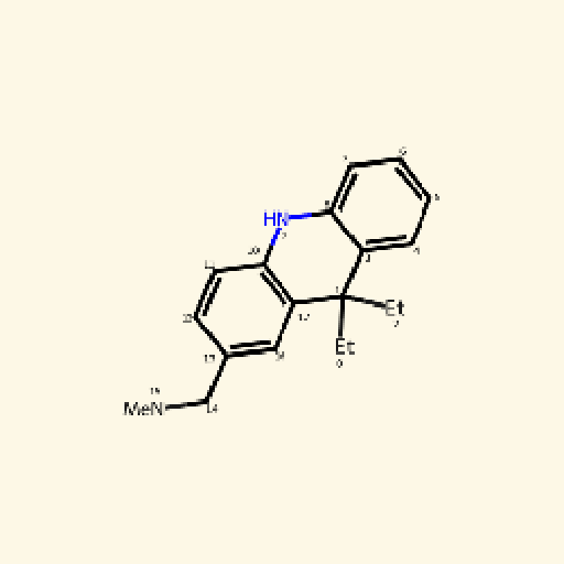 CCC1(CC)c2ccccc2Nc2ccc(CNC)cc21